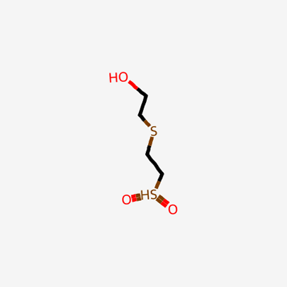 O=[SH](=O)CCSCCO